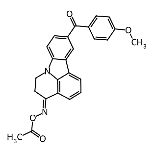 COc1ccc(C(=O)c2ccc3c(c2)c2cccc4c2n3CC/C4=N\OC(C)=O)cc1